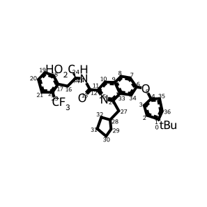 CC(C)(C)c1ccc(Oc2ccc3cc(C(=O)N[C@@H](Cc4ccccc4C(F)(F)F)C(=O)O)nc(CC4CCCC4)c3c2)cc1